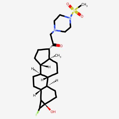 C[C@]12CC[C@@H]3[C@H]4CC[C@]5(O)C(F)C5[C@@H]4CC[C@H]3[C@@H]1CC[C@@H]2C(=O)CN1CCN(S(C)(=O)=O)CC1